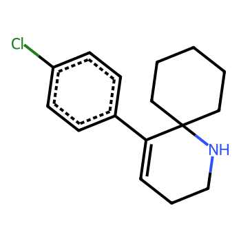 Clc1ccc(C2=CCCNC23CCCCC3)cc1